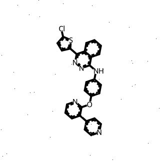 Clc1ccc(-c2nnc(Nc3ccc(Oc4ncccc4-c4ccncc4)cc3)c3ccccc23)s1